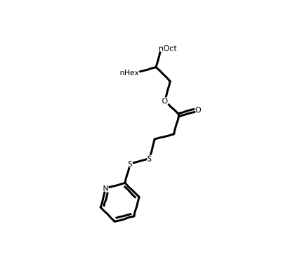 CCCCCCCCC(CCCCCC)COC(=O)CCSSc1ccccn1